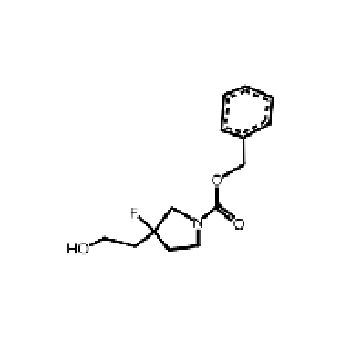 O=C(OCc1ccccc1)N1CCC(F)(CCO)C1